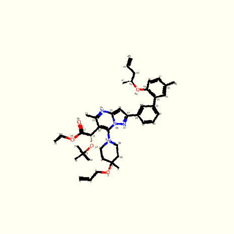 C=CCOC1(C)CCN(c2c([C@H](OC(C)(C)C)C(=O)OCC)c(C)nc3cc(-c4cccc(-c5cc(C)ccc5O[C@@H](C)CC=C)c4)nn23)CC1